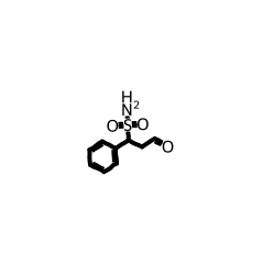 NS(=O)(=O)C(CC=O)c1ccccc1